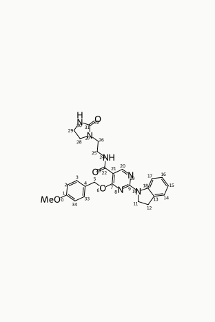 COc1ccc(COc2nc(N3CCc4ccccc43)ncc2C(=O)NCCN2CCNC2=O)cc1